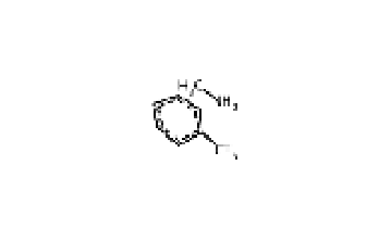 CN.FC(F)(F)c1ccccc1